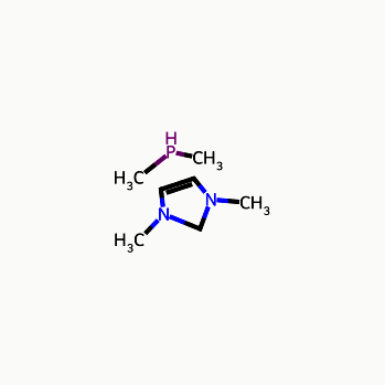 CN1C=CN(C)C1.CPC